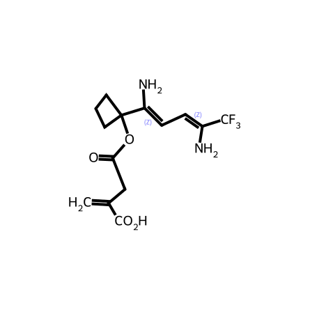 C=C(CC(=O)OC1(/C(N)=C/C=C(\N)C(F)(F)F)CCC1)C(=O)O